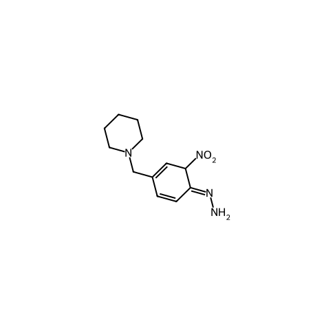 NN=C1C=CC(CN2CCCCC2)=CC1[N+](=O)[O-]